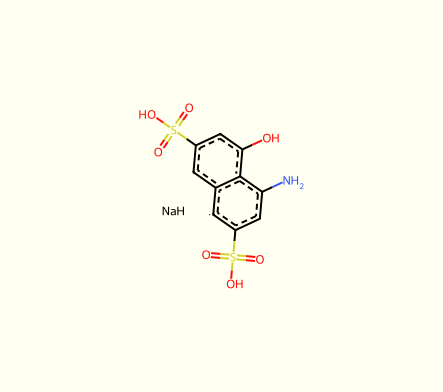 Nc1cc(S(=O)(=O)O)[c]c2cc(S(=O)(=O)O)cc(O)c12.[NaH]